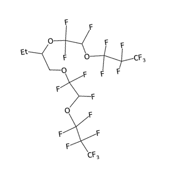 CCC(COC(F)(F)C(F)OC(F)(F)C(F)(F)C(F)(F)F)OC(F)(F)C(F)OC(F)(F)C(F)(F)C(F)(F)F